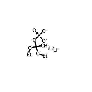 CCOC(C)(OCC)OP(=O)([O-])[O-].[Li+].[Li+]